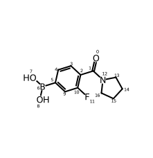 O=C(c1ccc(B(O)O)cc1F)N1CCCC1